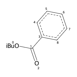 CC(C)[CH]OC(=O)c1ccccc1